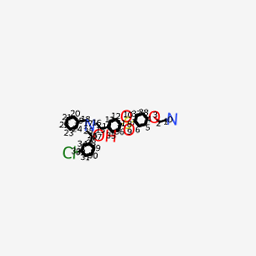 N#CCOc1ccc(S(=O)(=O)c2ccc(CCN(Cc3ccccc3)CC(O)c3cccc(Cl)c3)cc2)cc1